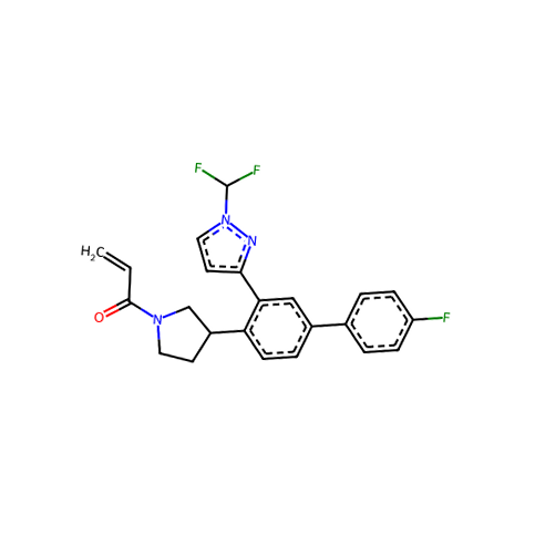 C=CC(=O)N1CCC(c2ccc(-c3ccc(F)cc3)cc2-c2ccn(C(F)F)n2)C1